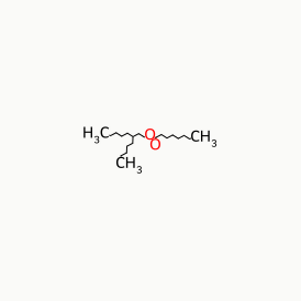 CCCCCCCC(=O)OCCC(CCCCC)CCCCC